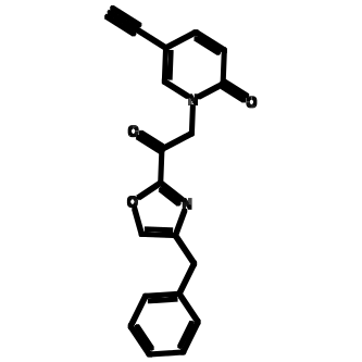 C#Cc1ccc(=O)n(CC(=O)c2nc(Cc3ccccc3)co2)c1